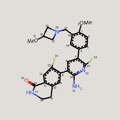 COc1ccc(-c2cc(-c3cc4c(cc3F)C(=O)NCC4)c(N)nc2F)cc1CN1CC(OC)C1